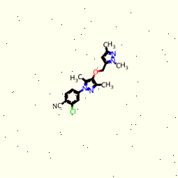 Cc1cc(COc2c(C)nn(-c3ccc(C#N)c(Cl)c3)c2C)n(C)n1